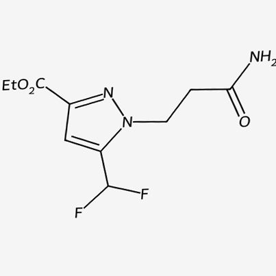 CCOC(=O)c1cc(C(F)F)n(CCC(N)=O)n1